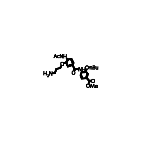 CCCCOc1cc(C(=O)OC)ccc1NC(=O)c1ccc(NC(C)=O)c(OCCCN)c1